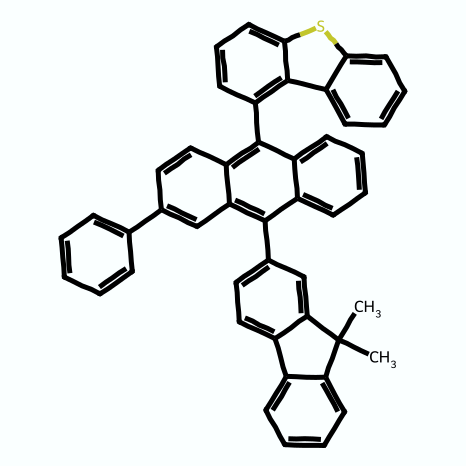 CC1(C)c2ccccc2-c2ccc(-c3c4ccccc4c(-c4cccc5sc6ccccc6c45)c4ccc(-c5ccccc5)cc34)cc21